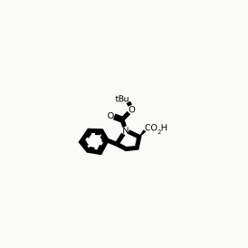 CC(C)(C)OC(=O)N1C(c2ccccc2)CC[C@@H]1C(=O)O